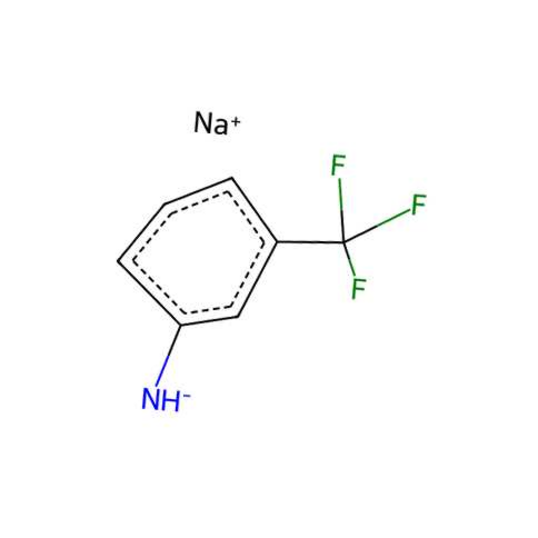 [NH-]c1cccc(C(F)(F)F)c1.[Na+]